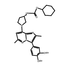 COc1ccc(-c2c(C)nc3c(N4CC[C@@H](NC(=O)OC5CCCCC5)C4)cc(C)nn23)cc1OC